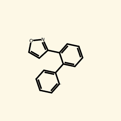 [c]1ccccc1-c1ccccc1-c1ccon1